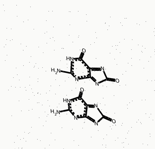 Nc1nc2c(c(=O)[nH]1)=NC(=O)N=2.Nc1nc2c(c(=O)[nH]1)=NC(=O)N=2